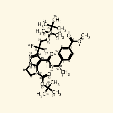 COC(=O)c1ccc([C@H](C)NC(=O)c2c(C(F)(F)CO[Si](C)(C)C(C)(C)C)nn3c2N(C(=O)OC(C)(C)C)CC3)cc1